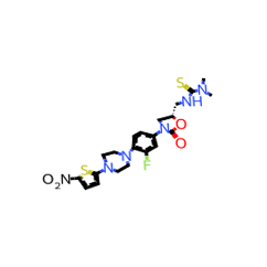 CN(C)C(=S)NC[C@H]1CN(c2ccc(N3CCN(c4ccc([N+](=O)[O-])s4)CC3)c(F)c2)C(=O)O1